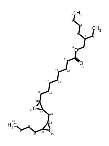 CCCCC(CC)COC(=O)CCCCCCCC1OC1CC1OC1CCCC